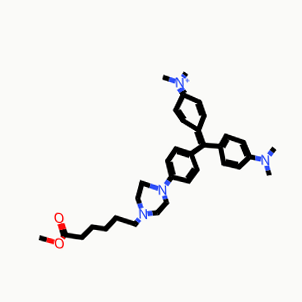 COC(=O)CCCCCN1CCN(c2ccc(C(=C3C=CC(=[N+](C)C)C=C3)c3ccc(N(C)C)cc3)cc2)CC1